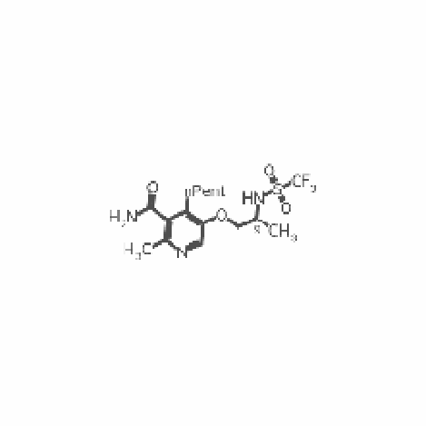 CCCCCc1c(OC[C@H](C)NS(=O)(=O)C(F)(F)F)cnc(C)c1C(N)=O